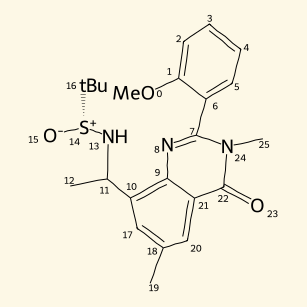 COc1ccccc1-c1nc2c(C(C)N[S@+]([O-])C(C)(C)C)cc(C)cc2c(=O)n1C